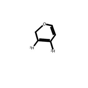 [2H]C1=C([2H])COC=C1